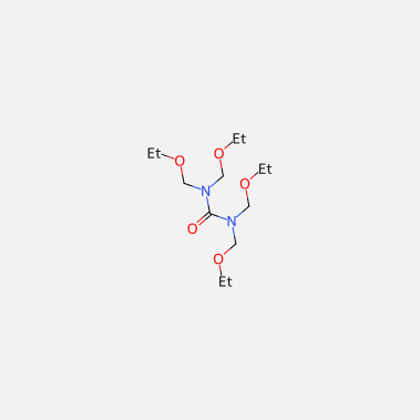 CCOCN(COCC)C(=O)N(COCC)COCC